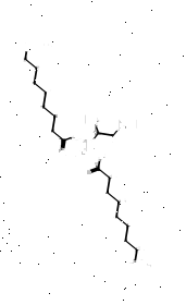 CCCCCCCCCCCCCCCCCC(=O)OP(=O)(OC(=O)CCCCCCCCCCCCCCCCC)C(O)CN